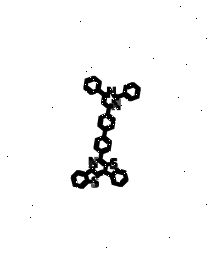 c1ccc(-c2cc(-c3ccc(-c4ccc(-c5nc6c7ccccc7sc6c6c5sc5ccccc56)cc4)cc3)nc(-c3ccccc3)n2)cc1